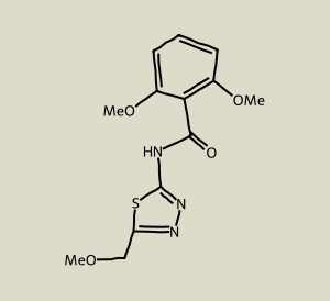 COCc1nnc(NC(=O)c2c(OC)cccc2OC)s1